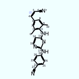 Cc1cc(/C=C\C#N)cc(C)c1Nc1ccnc(Nc2ccc(C#N)cc2)n1